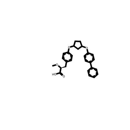 CO[C@@H](Cc1ccc(OC2CCC(Oc3ccc(-c4ccccc4)cc3)C2)cc1)C(=O)O